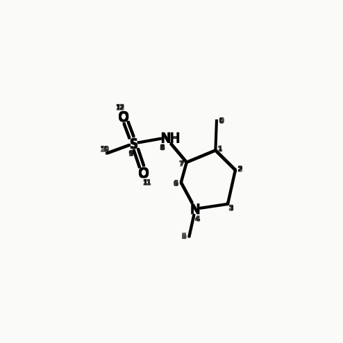 CC1CCN(C)CC1NS(C)(=O)=O